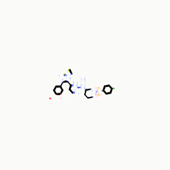 COc1ccc(-c2nc3sccn3c2-c2ccnc(N[C@@H]3CCCN(S(=O)(=O)c4ccc(Cl)cc4)C3)n2)cc1OC